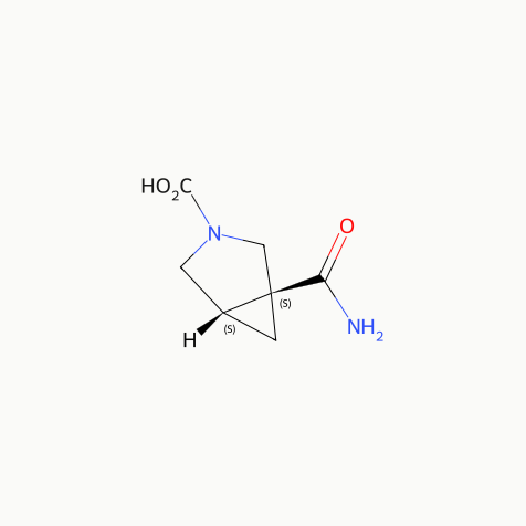 NC(=O)[C@@]12C[C@@H]1CN(C(=O)O)C2